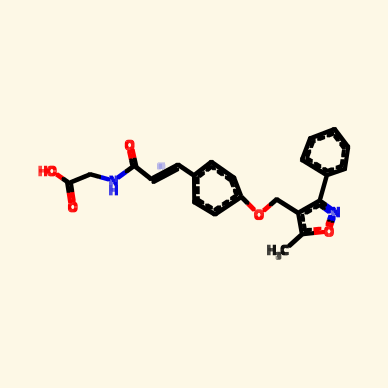 Cc1onc(-c2ccccc2)c1COc1ccc(/C=C/C(=O)NCC(=O)O)cc1